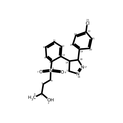 CC(O)CCS(=O)(=O)c1ccccc1C1CN=NC1c1ccc(Cl)cc1